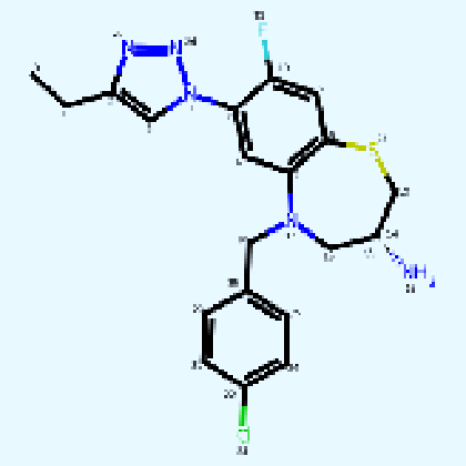 CCc1cn(-c2cc3c(cc2F)SC[C@H](N)CN3Cc2ccc(Cl)cc2)nn1